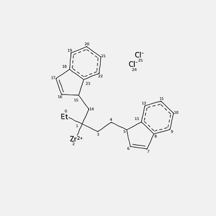 CC[C]([Zr+2])(CCC1C=Cc2ccccc21)CC1C=Cc2ccccc21.[Cl-].[Cl-]